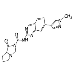 Cn1cc(-c2ccc3cnc(NC(=O)N4CN5CCCC5C4=O)nc3c2)cn1